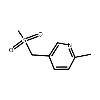 Cc1ccc(CS(C)(=O)=O)cn1